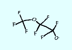 [O]C(F)(F)C(F)(F)OC(F)(F)F